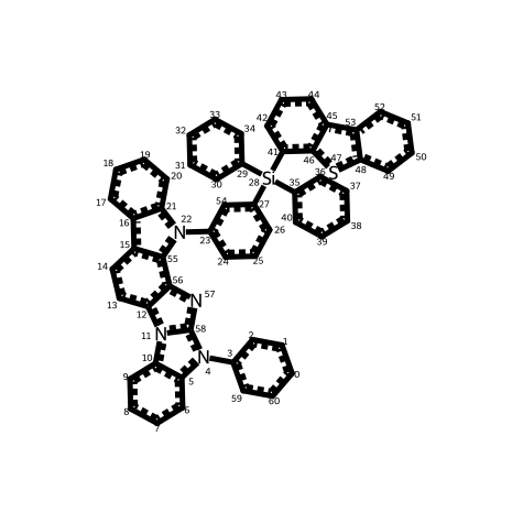 c1ccc(-n2c3ccccc3n3c4ccc5c6ccccc6n(-c6cccc([Si](c7ccccc7)(c7ccccc7)c7cccc8c7sc7ccccc78)c6)c5c4nc23)cc1